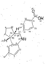 Cc1ccc2c(c1)[C@@H]1CCC[C@@H]1[C@H](c1ccc(C(=O)O)cc1)N2